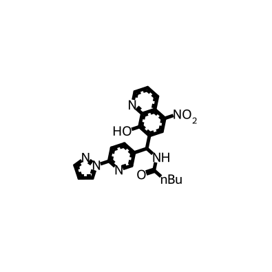 CCCCC(=O)NC(c1ccc(-n2cccn2)nc1)c1cc([N+](=O)[O-])c2cccnc2c1O